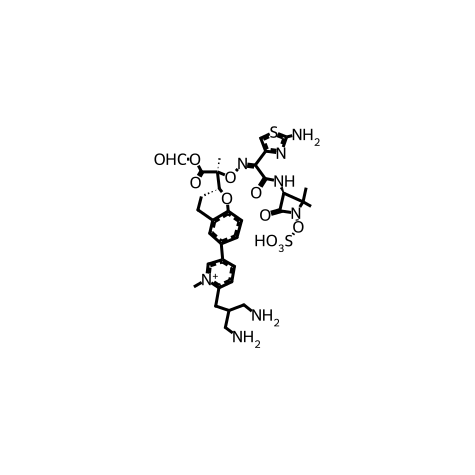 C[n+]1cc(-c2ccc3c(c2)CC[C@H]([C@](C)(O/N=C(\C(=O)N[C@@H]2C(=O)N(OS(=O)(=O)O)C2(C)C)c2csc(N)n2)C(=O)OC=O)O3)ccc1CC(CN)CN